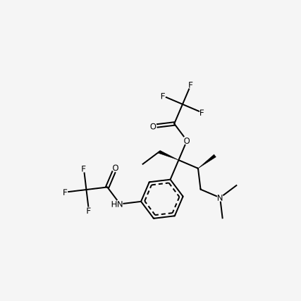 CC[C@](OC(=O)C(F)(F)F)(c1cccc(NC(=O)C(F)(F)F)c1)[C@@H](C)CN(C)C